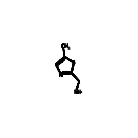 Cc1cnc(C[NH])s1